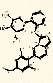 CC(C)Oc1cc(F)c(-c2ccc3cnc(Nc4cnccc4N4C[C@@H](N)[C@H](O)[C@@H](C)C4)n3n2)c(F)c1